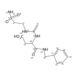 C=C(NCCS(N)(=O)=O)NC(CC(=O)O)C(=O)NCc1ccccc1